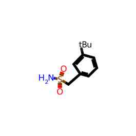 CC(C)(C)c1cccc(CS(N)(=O)=O)c1